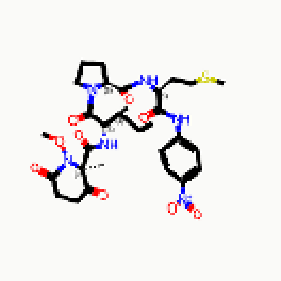 CC[C@H](C)[C@H](NC(=O)[C@@]1(C)C(=O)CCC(=O)N1OC)C(=O)N1CCC[C@H]1C(=O)N[C@@H](CCSC)C(=O)Nc1ccc([N+](=O)[O-])cc1